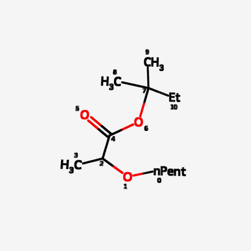 CCCCCOC(C)C(=O)OC(C)(C)CC